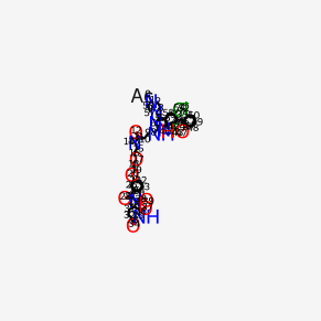 CC(=O)N1CCN(c2nc(NCCC(=O)N(C)CCOCCOc3ccc4c(c3)C(=O)N(C3CCC(=O)NC3=O)C4=O)nc3c(F)c(-c4c(O)cccc4F)c(Cl)cc23)CC1